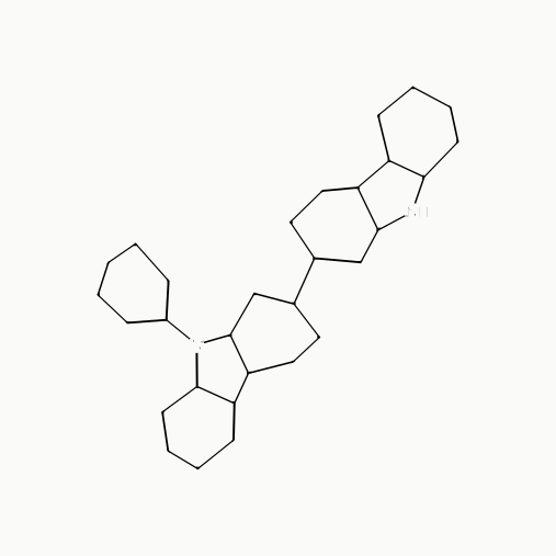 C1CCC(N2C3CCCCC3C3CCC(C4CCC5C(C4)NC4CCCCC45)CC32)CC1